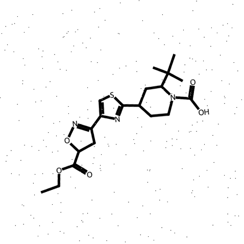 CCOC(=O)C1CC(c2csc(C3CCN(C(=O)O)C(C(C)(C)C)C3)n2)=NO1